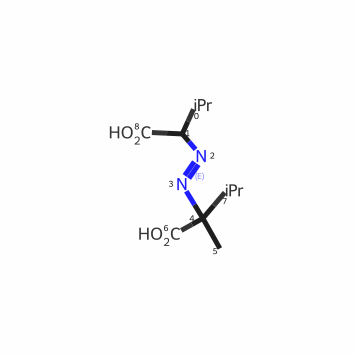 CC(C)C(/N=N/C(C)(C(=O)O)C(C)C)C(=O)O